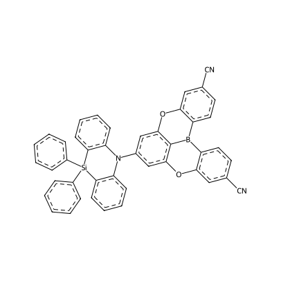 N#Cc1ccc2c(c1)Oc1cc(N3c4ccccc4[Si](c4ccccc4)(c4ccccc4)c4ccccc43)cc3c1B2c1ccc(C#N)cc1O3